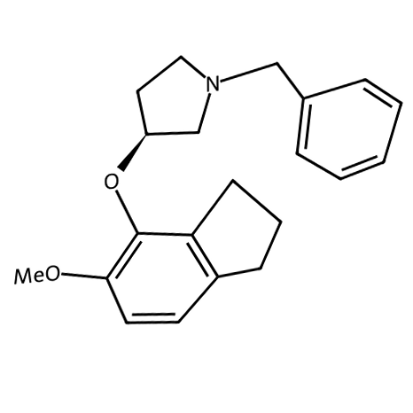 COc1ccc2c(c1O[C@H]1CCN(Cc3ccccc3)C1)CCC2